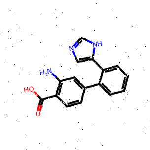 Nc1cc(-c2ccccc2-c2cnc[nH]2)ccc1C(=O)O